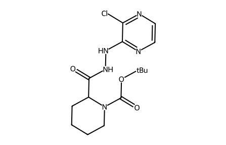 CC(C)(C)OC(=O)N1CCCCC1C(=O)NNc1nccnc1Cl